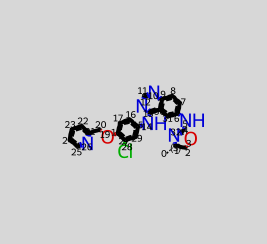 C[C@H]1COC(Nc2ccc3ncnc(Nc4ccc(OCc5ccccn5)c(Cl)c4)c3c2)=N1